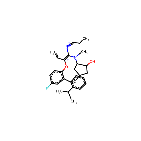 C=C/C(Oc1ccc(F)cc1-c1ccccc1C(C)C)=C(\N=C/CC)N(C)C1CC(C)CC1O